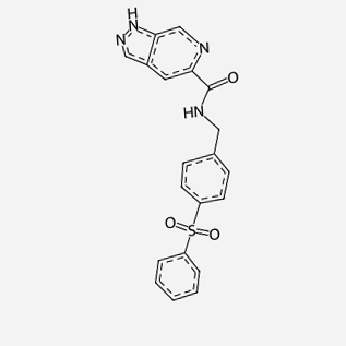 O=C(NCc1ccc(S(=O)(=O)c2ccccc2)cc1)c1cc2cn[nH]c2cn1